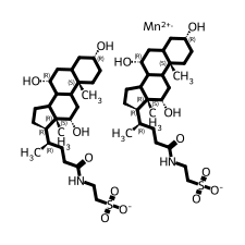 C[C@H](CCC(=O)NCCS(=O)(=O)[O-])[C@H]1CCC2C3C(C[C@H](O)[C@@]21C)[C@@]1(C)CC[C@@H](O)CC1C[C@H]3O.C[C@H](CCC(=O)NCCS(=O)(=O)[O-])[C@H]1CCC2C3C(C[C@H](O)[C@@]21C)[C@@]1(C)CC[C@@H](O)CC1C[C@H]3O.[Mn+2]